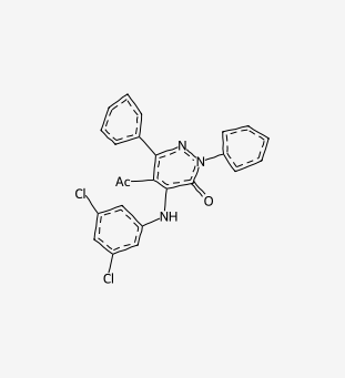 CC(=O)c1c(-c2ccccc2)nn(-c2ccccc2)c(=O)c1Nc1cc(Cl)cc(Cl)c1